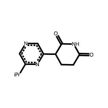 CC(C)c1cncc(C2CCC(=O)NC2=O)n1